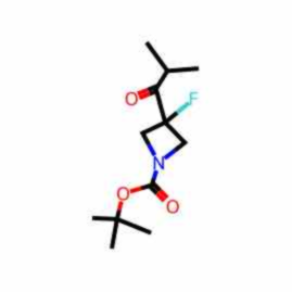 CC(C)C(=O)C1(F)CN(C(=O)OC(C)(C)C)C1